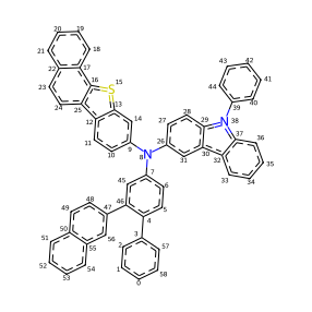 c1ccc(-c2ccc(N(c3ccc4c(c3)sc3c5ccccc5ccc43)c3ccc4c(c3)c3ccccc3n4-c3ccccc3)cc2-c2ccc3ccccc3c2)cc1